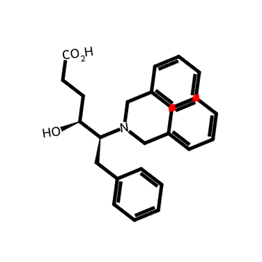 O=C(O)CC[C@H](O)[C@H](Cc1ccccc1)N(Cc1ccccc1)Cc1ccccc1